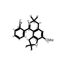 COc1cc2c(c3c1OC(C)(C)C3)C(c1ccccc1Br)=NC(C)(C)C2